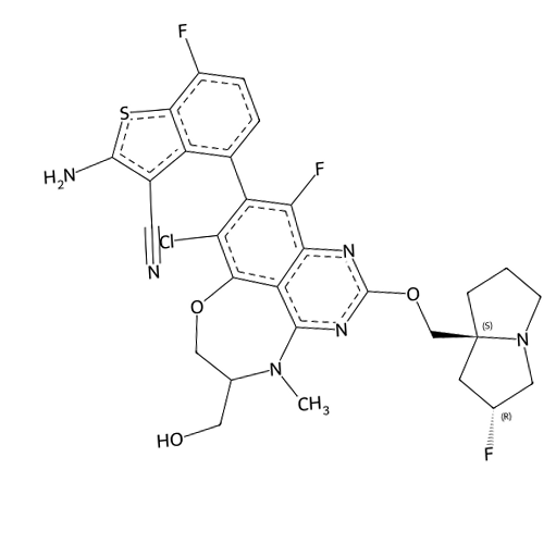 CN1c2nc(OC[C@@]34CCCN3C[C@H](F)C4)nc3c(F)c(-c4ccc(F)c5sc(N)c(C#N)c45)c(Cl)c(c23)OCC1CO